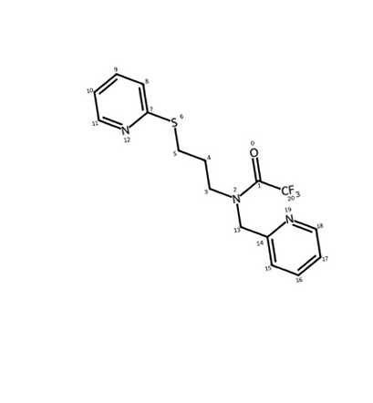 O=C(N(CCCSc1ccccn1)Cc1ccccn1)C(F)(F)F